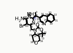 C/C(=C1/N=C(CN(C(=O)OC(C)(C)C)C2CCOCC2)C(Br)=C(N)N1N)c1cnc2ccccc2c1